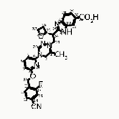 CC1CN(c2cccc(OCc3ccc(C#N)cc3F)n2)C=NN1CC(c1nc2ccc(C(=O)O)cc2[nH]1)[C@@H]1CCO1